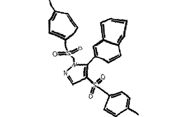 Cc1ccc(S(=O)(=O)c2cnn(S(=O)(=O)c3ccc(C)cc3)c2-c2ccc3ccccc3c2)cc1